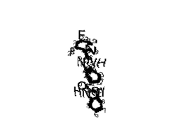 O=S(=O)(Nc1ccccc1Cl)c1ccc2[nH]c(-c3ncc(F)cc3F)nc2c1